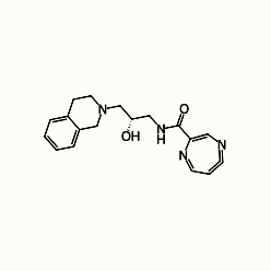 O=C(NC[C@H](O)CN1CCc2ccccc2C1)C1=CN=C=CC=N1